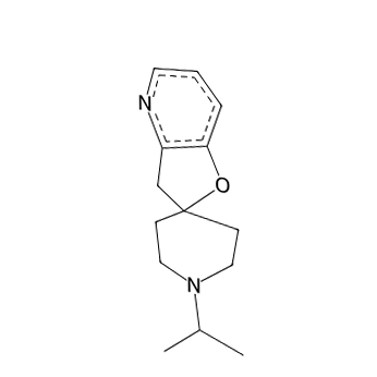 CC(C)N1CCC2(CC1)Cc1ncccc1O2